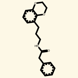 O=C(Cc1ccccc1)NCCCc1cccc2c1OCCO2